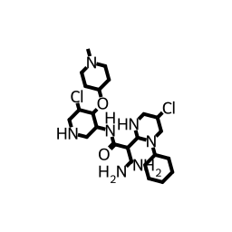 CN1CCC(OC2C(Cl)CNCC2NC(=O)C(C(N)N)C2NCC(Cl)CN2C2CCCCC2)CC1